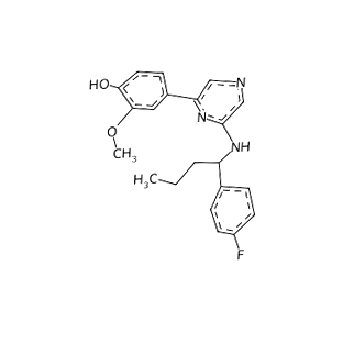 CCCC(Nc1cncc(-c2ccc(O)c(OC)c2)n1)c1ccc(F)cc1